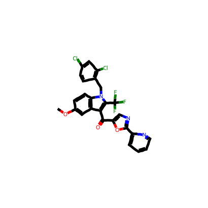 COc1ccc2c(c1)c(C(=O)c1cnc(-c3ccccn3)o1)c(C(F)(F)F)n2Cc1ccc(Cl)cc1Cl